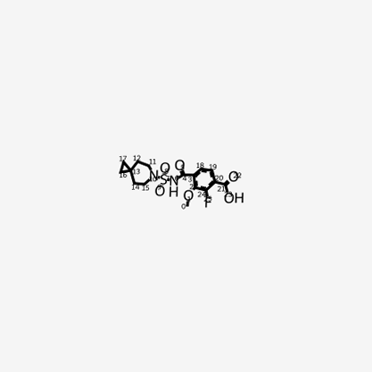 COc1c(C(=O)NS(=O)(=O)N2CCC3(CC2)CC3)ccc(C(=O)O)c1F